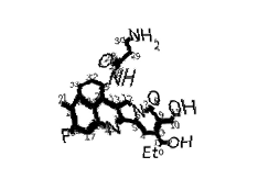 CC[C@H](O)c1cc2n(c(=O)c1CO)Cc1c-2nc2cc(F)c(C)c3c2c1[C@@H](NC(=O)CCN)CC3